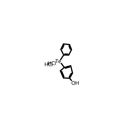 Cl.Cl.Oc1ccc([Te]c2ccccc2)cc1